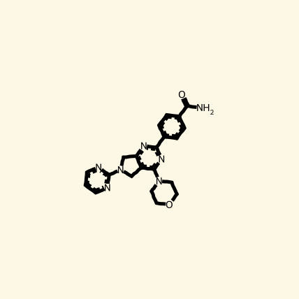 NC(=O)c1ccc(-c2nc3c(c(N4CCOCC4)n2)CN(c2ncccn2)C3)cc1